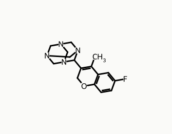 CC1=C(C2N3CN4CN(C3)CN2C4)COc2ccc(F)cc21